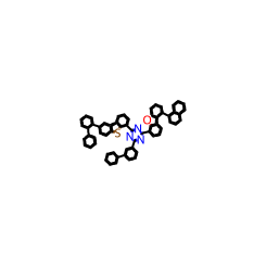 c1ccc(-c2cccc(-c3nc(-c4cccc5c4oc4cccc(-c6cccc7ccccc67)c45)nc(-c4cccc5c4sc4ccc(-c6ccccc6-c6ccccc6)cc45)n3)c2)cc1